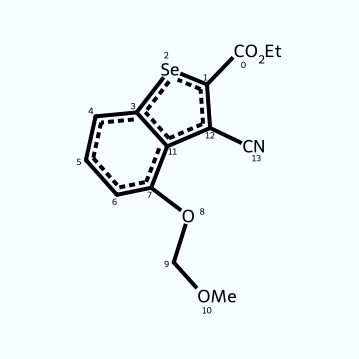 CCOC(=O)c1[se]c2cccc(OCOC)c2c1C#N